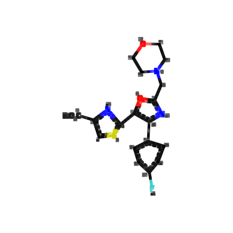 CCOC(=O)c1csc(-c2oc(CN3CCOCC3)nc2-c2ccc(F)cc2)n1